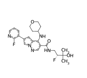 CC(C)(O)[C@H](F)CNC(=O)c1cnn2cc(-c3cccnc3F)cc2c1NC1CCOCC1